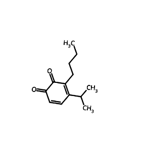 CCCCC1=C(C(C)C)C=CC(=O)C1=O